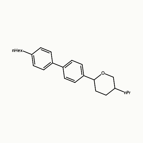 CCCCCCc1ccc(-c2ccc(C3CCC(CCC)CO3)cc2)cc1